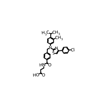 Cc1cc(N(Cc2ccc(C(=O)NCCC(=O)O)cc2)c2nc(-c3ccc(Cl)cc3)cs2)ccc1C(C)C